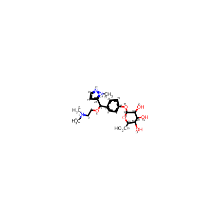 CN(C)CCOC(c1ccc(OC2OC(C(=O)O)C(O)C(O)C2O)cc1)c1ccnn1C